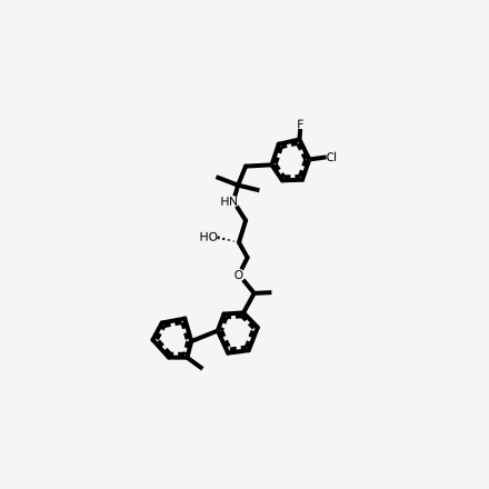 Cc1ccccc1-c1cccc(C(C)OC[C@H](O)CNC(C)(C)Cc2ccc(Cl)c(F)c2)c1